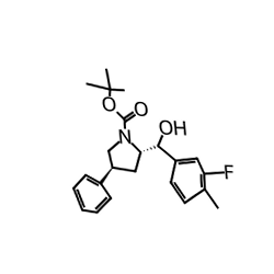 Cc1ccc(C(O)[C@@H]2C[C@@H](c3ccccc3)CN2C(=O)OC(C)(C)C)cc1F